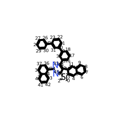 C[Si]1(C)c2cc3ccccc3cc2-c2c(-c3cccc(-c4cccc(-c5ccccc5)c4)c3)nc(-c3cccc4ccccc34)nc21